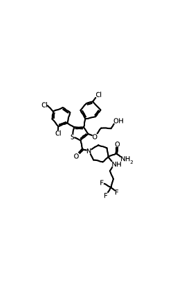 NC(=O)C1(NCCC(F)(F)F)CCN(C(=O)c2sc(-c3ccc(Cl)cc3Cl)c(-c3ccc(Cl)cc3)c2OCCO)CC1